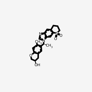 Cc1cc2c(cc1[C@@H](C)n1cnc3cc4c(cc31)S(=O)(=O)CCC4)C[C@@H](O)CO2